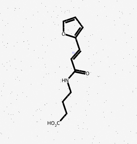 O=C(O)CCCNC(=O)/C=C/c1ccco1